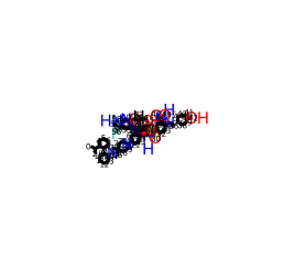 CC(C)c1ccccc1[C@@H]1CCCC[C@H]1N1CC2(CCN(c3ccc(C(=O)NS(=O)(=O)c4ccc(NC[C@H]5CC[C@](C)(O)CC5)c([N+](=O)[O-])c4)c(N4c5cc6c(F)c[nH]c6nc5O[C@H]5COCC[C@@H]54)c3)CC2)C1